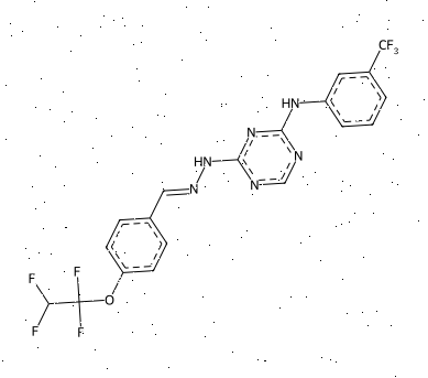 FC(F)C(F)(F)Oc1ccc(/C=N/Nc2ncnc(Nc3cccc(C(F)(F)F)c3)n2)cc1